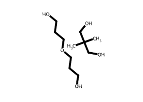 CC(C)(CO)CO.OCCCOCCCO